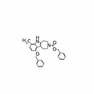 Cc1ccc(OCc2ccccc2)c2c3c([nH]c12)CCN(C(=O)OCc1ccccc1)CC3